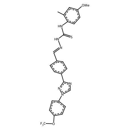 COc1ccc(NC(=S)N/N=C/c2ccc(-c3ncn(-c4ccc(OC(F)(F)F)cc4)n3)cc2)c(C)c1